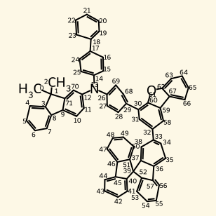 CC1(C)c2ccccc2-c2ccc(N(c3ccc(-c4ccccc4)cc3)c3ccc(-c4cc(-c5ccc6c(c5)C5(c7ccccc7-c7ccccc75)c5ccccc5-6)cc5c4oc4ccccc45)cc3)cc21